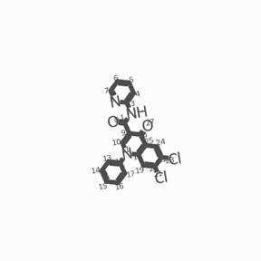 O=C(Nc1ccccn1)c1cn(-c2ccccc2)c2cc(Cl)c(Cl)cc2c1=O